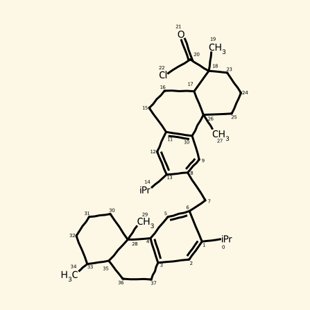 CC(C)c1cc2c(cc1Cc1cc3c(cc1C(C)C)CCC1C(C)(C(=O)Cl)CCCC31C)C1(C)CCCC(C)C1CC2